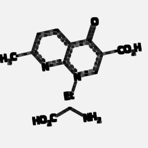 CCn1cc(C(=O)O)c(=O)c2ccc(C)nc21.NCC(=O)O